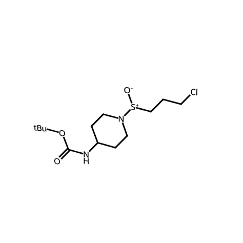 CC(C)(C)OC(=O)NC1CCN([S+]([O-])CCCCl)CC1